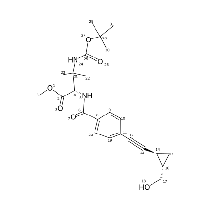 COC(=O)[C@@H](NC(=O)c1ccc(C#C[C@H]2C[C@@H]2CO)cc1)C(C)(C)NC(=O)OC(C)(C)C